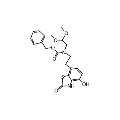 COC(CN(CCc1ccc(O)c2[nH]c(=O)sc12)C(=O)OCc1ccccc1)OC